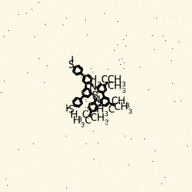 CC(C)(C)c1cc2c3c(c1)-n1c4ccc(-c5ccc(SI)cc5)cc4c4cc(-c5ccc(SI)cc5)cc(c41)B3n1c3ccc(C(C)(C)C)cc3c3cc(C(C)(C)C)cc-2c31